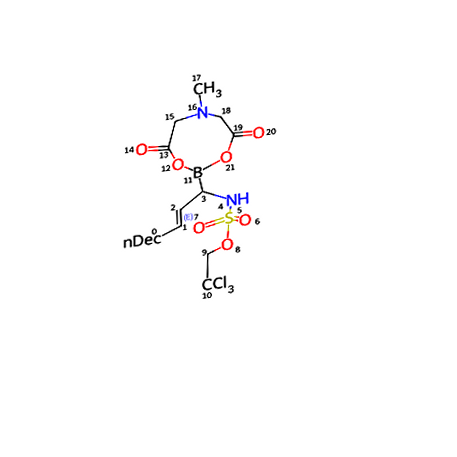 CCCCCCCCCC/C=C/C(NS(=O)(=O)OCC(Cl)(Cl)Cl)B1OC(=O)CN(C)CC(=O)O1